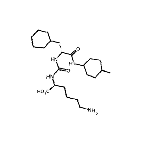 CC1CCC(NC(=O)[C@@H](CC2CCCCC2)NC(=O)N[C@@H](CCCCN)C(=O)O)CC1